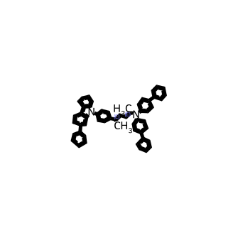 C/C(=C\C=C(/C)N(c1ccc(-c2ccccc2)cc1)c1ccc(-c2ccccc2)cc1)c1ccc(-n2c3ccccc3c3ccc(-c4ccccc4)cc32)cc1